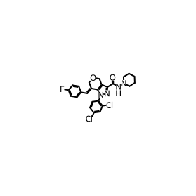 O=C(NN1CCCCC1)c1nn(-c2ccc(Cl)cc2Cl)c2c1COCC2=Cc1ccc(F)cc1